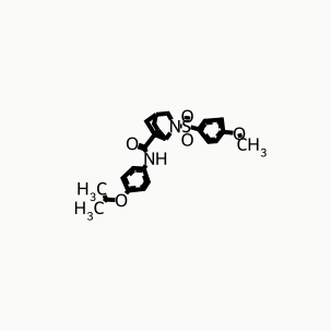 COc1ccc(S(=O)(=O)N2CC3CCC2C(C(=O)Nc2ccc(OC(C)C)cc2)C3)cc1